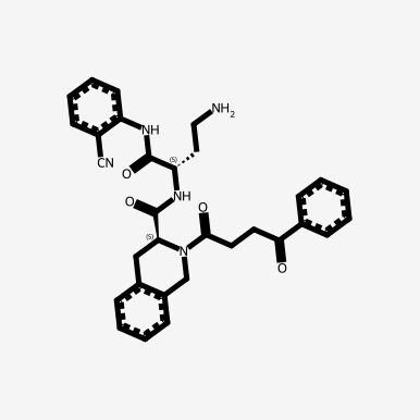 N#Cc1ccccc1NC(=O)[C@H](CCN)NC(=O)[C@@H]1Cc2ccccc2CN1C(=O)CCC(=O)c1ccccc1